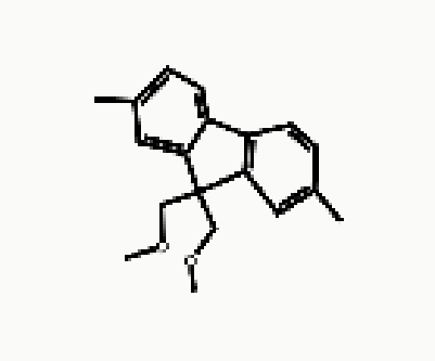 COCC1(COC)c2cc(C)ccc2-c2ccc(C)cc21